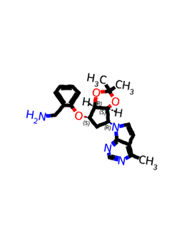 Cc1ncnc2c1ccn2[C@@H]1C[C@H](Oc2ccccc2CN)[C@H]2OC(C)(C)O[C@H]21